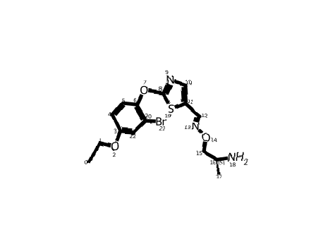 CCOc1ccc(Oc2ncc(C=NOC[C@H](C)N)s2)c(Br)c1